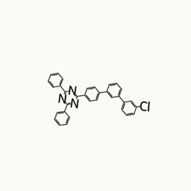 Clc1cccc(-c2cccc(-c3ccc(-c4nc(-c5ccccc5)nc(-c5ccccc5)n4)cc3)c2)c1